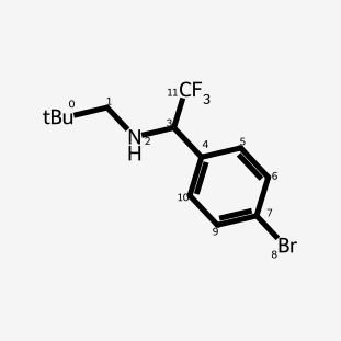 CC(C)(C)CNC(c1ccc(Br)cc1)C(F)(F)F